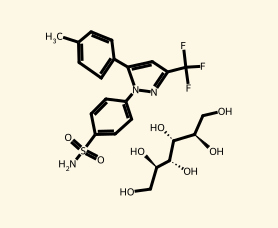 Cc1ccc(-c2cc(C(F)(F)F)nn2-c2ccc(S(N)(=O)=O)cc2)cc1.OC[C@@H](O)[C@@H](O)[C@H](O)[C@H](O)CO